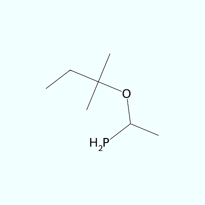 CCC(C)(C)OC(C)P